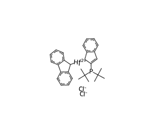 CC(C)(C)P(C1=Cc2ccccc2[CH]1[Hf+2][CH]1c2ccccc2-c2ccccc21)C(C)(C)C.[Cl-].[Cl-]